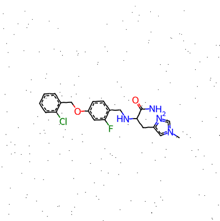 Cn1cnc(CC(NCc2ccc(OCc3ccccc3Cl)cc2F)C(N)=O)c1